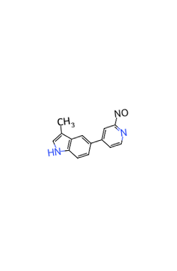 Cc1c[nH]c2ccc(-c3ccnc(N=O)c3)cc12